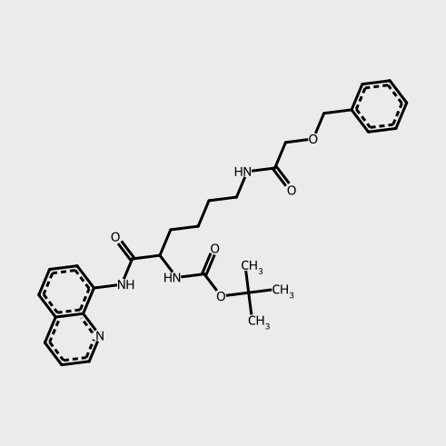 CC(C)(C)OC(=O)NC(CCCCNC(=O)COCc1ccccc1)C(=O)Nc1cccc2cccnc12